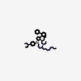 C=C/C(=C\C)c1ccc(N(C/C=C\C(C)=C\C/C=C\C=C/CC)C2=CC=C(c3ccccc3-c3ccccc3)[C@H]2C(C/C=C\C)CCC)cc1